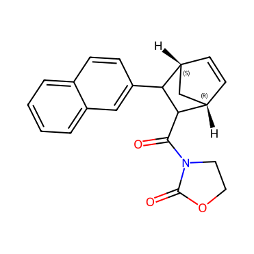 O=C1OCCN1C(=O)C1C(c2ccc3ccccc3c2)[C@@H]2C=C[C@H]1C2